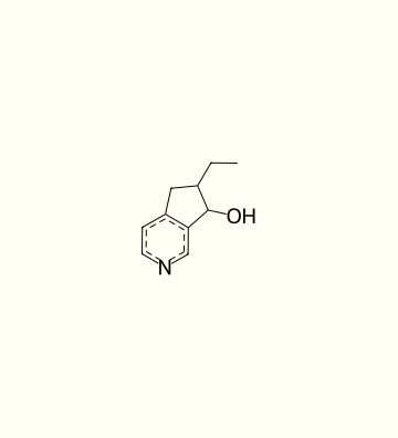 CCC1Cc2ccncc2C1O